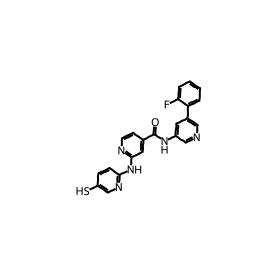 O=C(Nc1cncc(-c2ccccc2F)c1)c1ccnc(Nc2ccc(S)cn2)c1